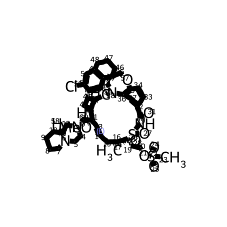 CO[C@]1(CN2CCN3CCCC[C@@H]3C2)/C=C/C[C@H](C)[C@@H](CCOS(C)(=O)=O)S(=O)(=O)NC(=O)c2ccc3c(c2)N(C[C@@H]2CC[C@H]21)C[C@@]1(CCCc2cc(Cl)ccc21)CO3